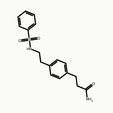 NC(=O)CCc1ccc(CCNS(=O)(=O)c2ccccc2)cc1